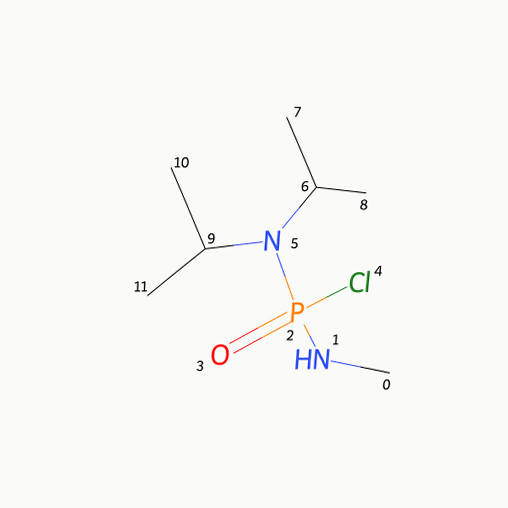 CNP(=O)(Cl)N(C(C)C)C(C)C